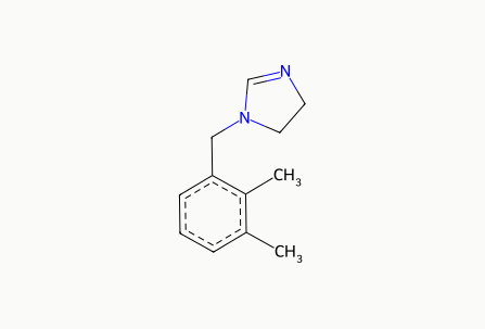 Cc1cccc(CN2C=NCC2)c1C